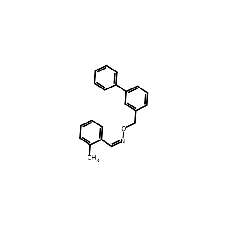 Cc1ccccc1/[C]=N\OCc1cccc(-c2ccccc2)c1